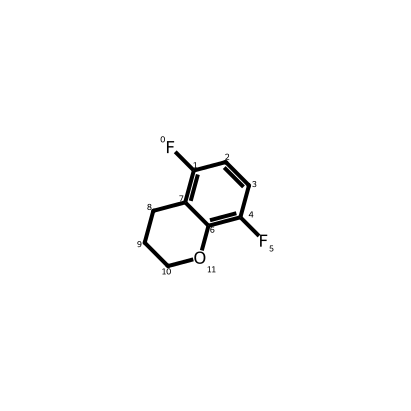 Fc1ccc(F)c2c1CCCO2